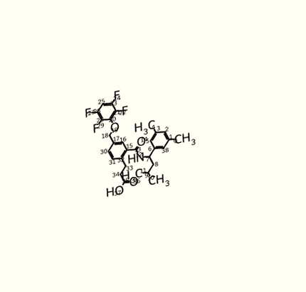 Cc1cc(C)cc(C(CC(C)C)NC(=O)c2cc(COc3c(F)c(F)cc(F)c3F)ccc2CCC(=O)O)c1